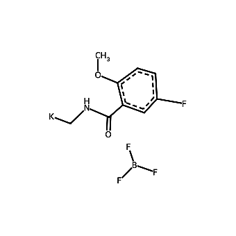 COc1ccc(F)cc1C(=O)N[CH2][K].FB(F)F